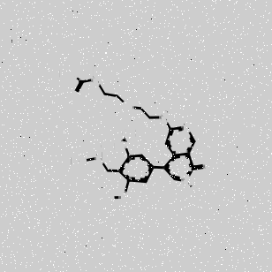 COc1cc(-c2cn(C)c(=O)c3cnc(N(C)CCOCCNC(=O)O)cc23)cc(OC)c1CN(C)C